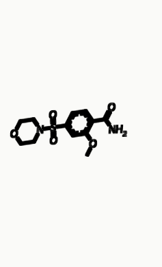 COc1cc(S(=O)(=O)N2CCOCC2)ccc1C(N)=O